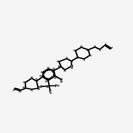 C=CCCC1CCC(C2CCC(c3ccc(C4CCC(C=C)CC4)c(C(F)(F)F)c3F)CO2)CC1